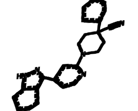 N#CC1(c2ccccc2)CCN(c2cc(-c3n[nH]c4ccccc34)ccn2)CC1